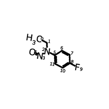 CCN(N=O)c1ccc(F)cc1